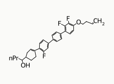 C=CCCOc1ccc(-c2ccc(-c3ccc(C4=CCC(C(O)CCC)CC4)c(F)c3)cc2)c(F)c1F